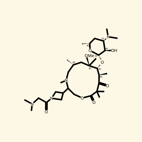 CO[C@]1(C)C[C@@H](C)CN(C)C(C2CN(C(=O)CN(C)C)C2)COC(=O)C(C)(C)C(=O)[C@H](C)[C@H]1O[C@@H]1O[C@H](C)C[C@H](N(C)C)[C@H]1O